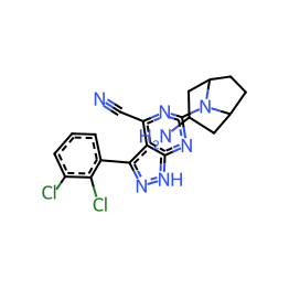 N#Cc1nc(N2C3CCC2CC(N)C3)nc2[nH]nc(-c3cccc(Cl)c3Cl)c12